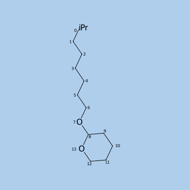 CC(C)CCCCCCOC1CCCCO1